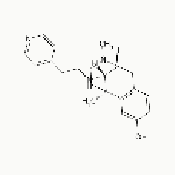 CN1CC[C@]2(C)c3cc(O)ccc3C[C@@H]1[C@H]2NCCc1ccncc1